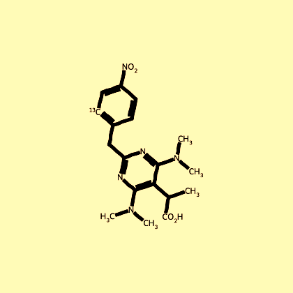 CC(C(=O)O)c1c(N(C)C)nc(Cc2ccc([N+](=O)[O-])c[13cH]2)nc1N(C)C